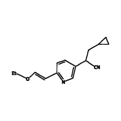 CCOC=Cc1ccc(C(C#N)CC2CC2)cn1